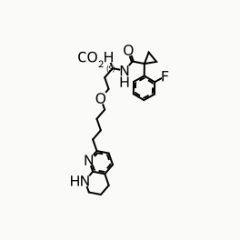 O=C(O)[C@H](CCOCCCCc1ccc2c(n1)NCCC2)NC(=O)C1(c2ccccc2F)CC1